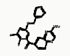 COc1cnc2ccc(C(=O)c3cc(OCc4ccccc4)cc(F)c3F)cc2n1